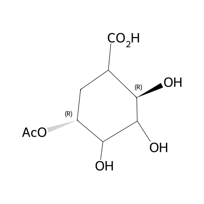 CC(=O)O[C@@H]1CC(C(=O)O)[C@@H](O)C(O)C1O